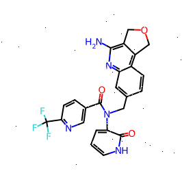 Nc1nc2cc(CN(C(=O)c3ccc(C(F)(F)F)nc3)c3ccc[nH]c3=O)ccc2c2c1COC2